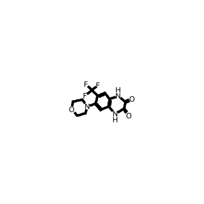 O=c1[nH]c2cc(N3CCOCC3)c(C(F)(F)F)cc2[nH]c1=O